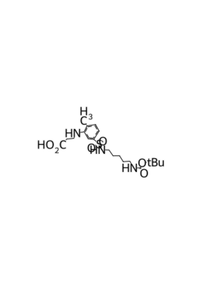 Cc1ccc(S(=O)(=O)NCCCCCNC(=O)OC(C)(C)C)cc1NCCC(=O)O